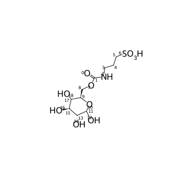 O=C(NCCCS(=O)(=O)O)OC[C@H]1OC(O)[C@H](O)[C@@H](O)C1O